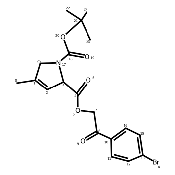 CC1=CC(C(=O)OCC(=O)c2ccc(Br)cc2)N(C(=O)OC(C)(C)C)C1